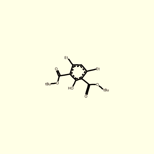 CCc1cc(CC)c(C(=O)OC(C)(C)C)c(O)c1C(=O)OC(C)(C)C